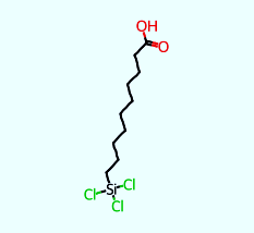 O=C(O)CCCCCCCCC[Si](Cl)(Cl)Cl